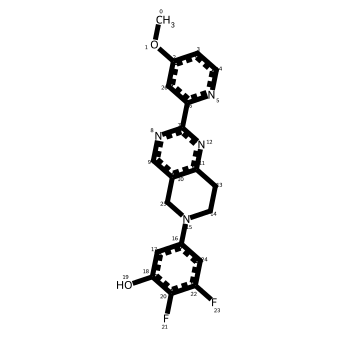 COc1ccnc(-c2ncc3c(n2)CCN(c2cc(O)c(F)c(F)c2)C3)c1